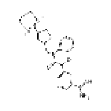 C[C@@H]1CCC[C@H](C)N1C1CCC(CN2C(=O)C(c3cccc(C(=N)N)c3)Oc3ccccc32)C1